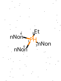 CCCCCCCCC[PH](CC)(CCCCCCCCC)CCCCCCCCC